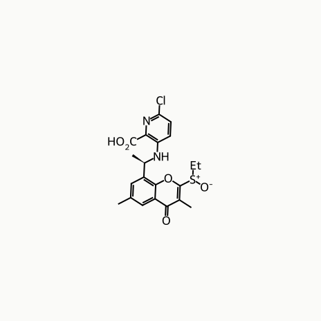 CC[S+]([O-])c1oc2c([C@@H](C)Nc3ccc(Cl)nc3C(=O)O)cc(C)cc2c(=O)c1C